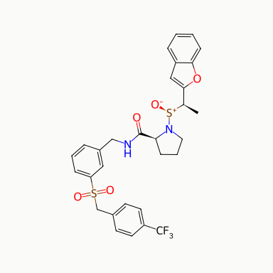 C[C@H](c1cc2ccccc2o1)[S@+]([O-])N1CCC[C@H]1C(=O)NCc1cccc(S(=O)(=O)Cc2ccc(C(F)(F)F)cc2)c1